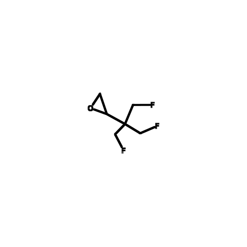 FCC(CF)(CF)C1CO1